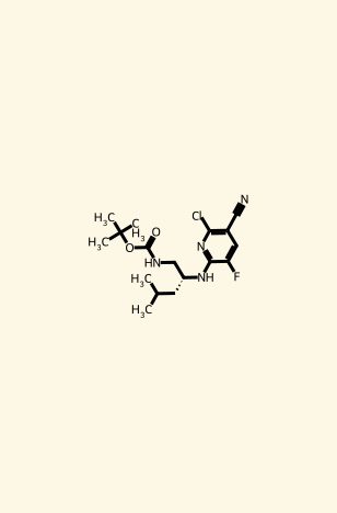 CC(C)C[C@H](CNC(=O)OC(C)(C)C)Nc1nc(Cl)c(C#N)cc1F